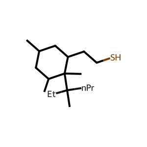 CCCC(C)(CC)C1(C)C(C)CC(C)CC1CCS